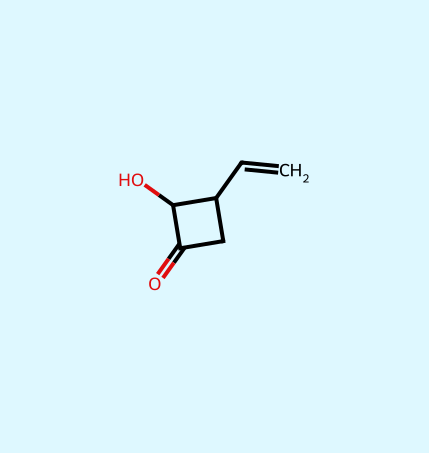 C=CC1CC(=O)C1O